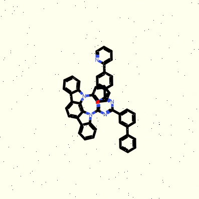 c1ccc(-c2cccc(-c3nc(-c4ccc(-c5ccccn5)cc4)nc(-n4c5ccccc5c5ccc6c7ccccc7n(-c7ccccc7)c6c54)n3)c2)cc1